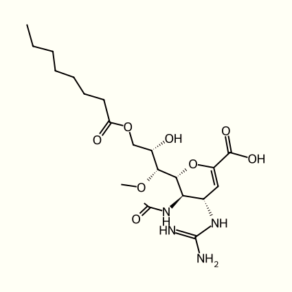 CCCCCCCC(=O)OC[C@H](O)[C@@H](OC)[C@@H]1OC(C(=O)O)=C[C@H](NC(=N)N)[C@H]1NC(C)=O